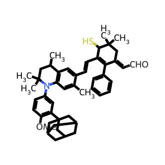 COc1ccc(N2c3cc(C)c(/C=C/C4=C(c5ccccc5)C(=C/C=O)/CC(C)(C)C4S)cc3C(C)CC2(C)C)cc1C12CC3CC(CC(C3)C1)C2